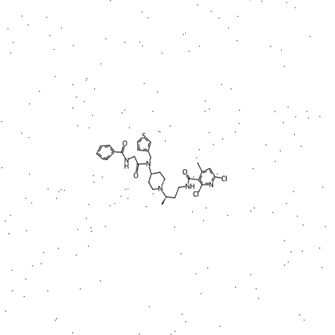 Cc1cc(Cl)nc(Cl)c1C(=O)NCC[C@@H](C)N1CCC(N(Cc2ccsc2)C(=O)CNC(=O)c2ccccc2)CC1